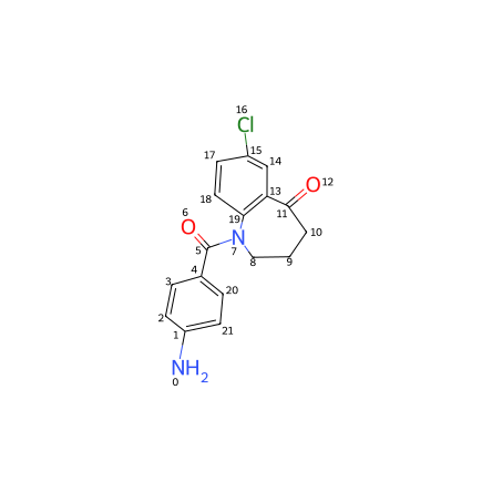 Nc1ccc(C(=O)N2CCCC(=O)c3cc(Cl)ccc32)cc1